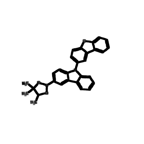 CC1OB(c2ccc3c(c2)c2ccccc2n3-c2ccc3oc4ccccc4c3c2)OC1(C)C